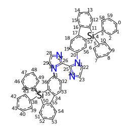 c1ccc([Si]2(c3ccccc3)c3ccccc3-c3ccc(-n4ccnc4-c4nccn4-c4ccc5c(c4)[Si](c4ccccc4)(c4ccccc4)c4ccccc4-5)cc32)cc1